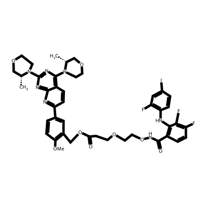 COc1ccc(-c2ccc3c(N4CCOC[C@H]4C)nc(N4CCOC[C@H]4C)nc3n2)cc1COC(=O)CCOCCONC(=O)c1ccc(F)c(F)c1Nc1ccc(I)cc1F